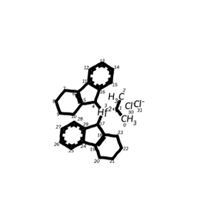 C[C](C)=[Hf+2]([CH]1C2=C(CCCC2)c2ccccc21)[CH]1C2=C(CCCC2)c2ccccc21.[Cl-].[Cl-]